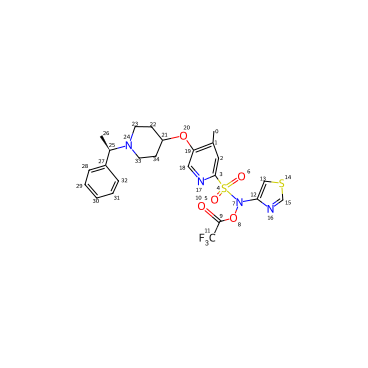 Cc1cc(S(=O)(=O)N(OC(=O)C(F)(F)F)c2cscn2)ncc1OC1CCN([C@H](C)c2ccccc2)CC1